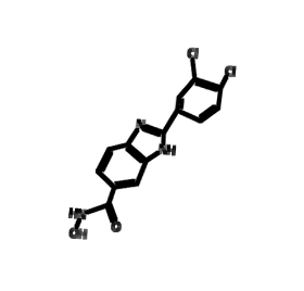 O=C(NO)c1ccc2nc(-c3ccc(Cl)c(Cl)c3)[nH]c2c1